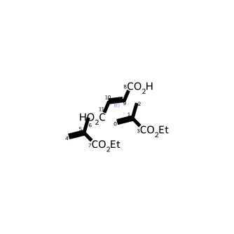 C=C(C)C(=O)OCC.C=C(C)C(=O)OCC.O=C(O)/C=C/C(=O)O